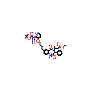 CCOC(=O)CC(C)N1C(=O)c2cc(CCCCOc3cccnc3NC(=O)OC(C)(C)C)ccc2N(C)C(=O)C1c1ccccc1